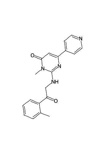 Cc1ccccc1C(=O)CNc1nc(-c2ccncc2)cc(=O)n1C